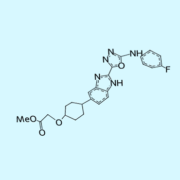 COC(=O)COC1CCC(c2ccc3[nH]c(-c4nnc(Nc5ccc(F)cc5)o4)nc3c2)CC1